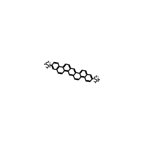 C[Si](C)(C)c1ccc2c(ccc3c4cc5ccc6c7ccc([Si](C)(C)C)cc7ccc6c5cc4ccc23)c1